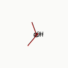 CCCCCCCCCCCCCCCCCCCC(=O)OC(C(=O)CCCCCCCCCCCCCCCCCCC)C(O)CO